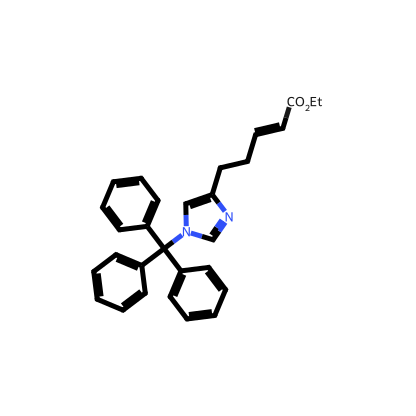 CCOC(=O)C=CCCc1cn(C(c2ccccc2)(c2ccccc2)c2ccccc2)cn1